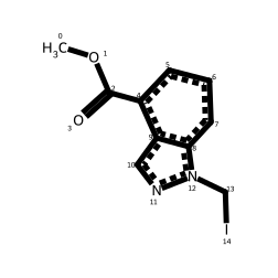 COC(=O)c1cccc2c1cnn2CI